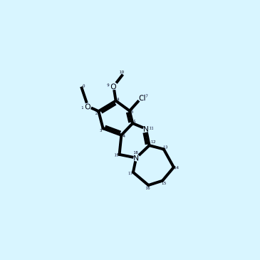 COc1cc2c(c(Cl)c1OC)N=C1CCCCCN1C2